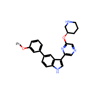 CC(C)Oc1cccc(-c2ccc3[nH]cc(-c4cncc(O[C@@H]5CCCNC5)n4)c3c2)c1